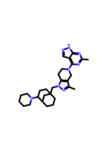 Cc1nc(N2CCc3c(c(C)nn3CC34CCCC(C3)C(N3CCCCC3)CC4)C2)c2cn[nH]c2n1